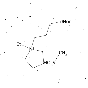 CCCCCCCCCCCC[N+]1(CC)CCCC1.CS(=O)(=O)O